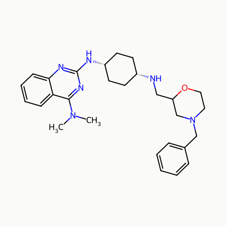 CN(C)c1nc(N[C@H]2CC[C@@H](NCC3CN(Cc4ccccc4)CCO3)CC2)nc2ccccc12